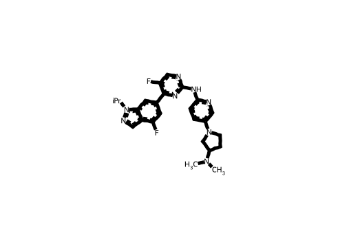 CC(C)n1ncc2c(F)cc(-c3nc(Nc4ccc(N5CCC(N(C)C)C5)cn4)ncc3F)cc21